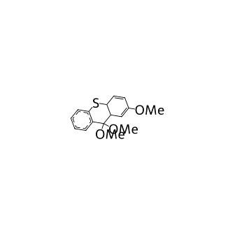 COC1=CC2C(C=C1)Sc1ccccc1C2(OC)OC